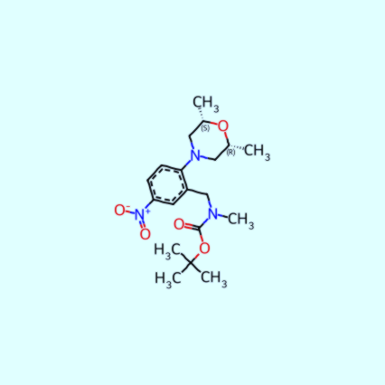 C[C@@H]1CN(c2ccc([N+](=O)[O-])cc2CN(C)C(=O)OC(C)(C)C)C[C@H](C)O1